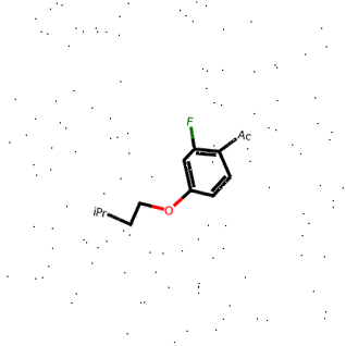 CC(=O)c1ccc(OCCC(C)C)cc1F